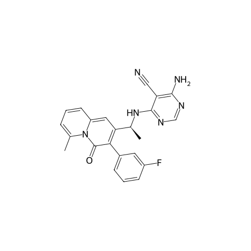 Cc1cccc2cc([C@H](C)Nc3ncnc(N)c3C#N)c(-c3cccc(F)c3)c(=O)n12